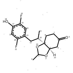 CC1O[C@@H]2CC(=O)CC[C@]2(C(C)Cc2cc(F)c(O)cc2F)O1